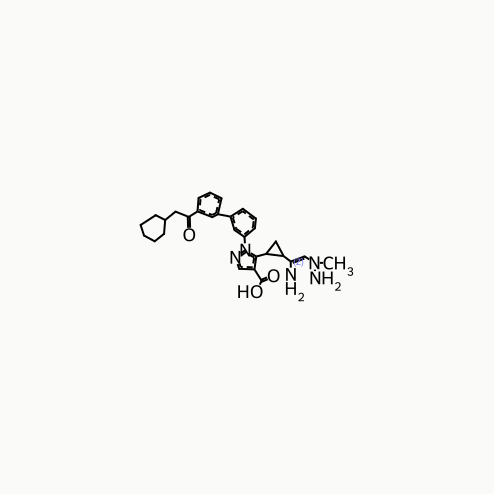 CN(N)/C=C(\N)C1CC1c1c(C(=O)O)cnn1-c1cccc(-c2cccc(C(=O)CC3CCCCC3)c2)c1